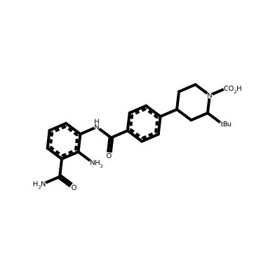 CC(C)(C)C1CC(c2ccc(C(=O)Nc3cccc(C(N)=O)c3N)cc2)CCN1C(=O)O